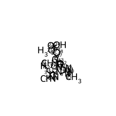 CCCCc1cc(NCc2c(-c3ccc(O[C@H]4CCC[C@](C)(C(=O)O)C4)c(C)n3)nnn2C)nnc1Cl